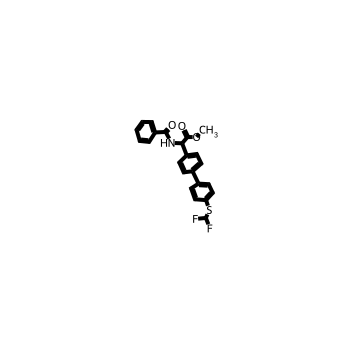 COC(=O)C(NC(=O)c1ccccc1)c1ccc(-c2ccc(SC(F)F)cc2)cc1